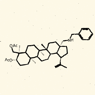 C=C(C)[C@@H]1CC[C@]2(CNCc3ccccc3)CC[C@]3(C)C(CCC4[C@@]5(C)CC[C@H](OC(C)=O)[C@@](C)(COC(C)=O)C5CC[C@]43C)C12